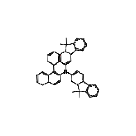 CC1(C)c2ccccc2C2=CC=C(N(C3=CC4c5ccccc5C(C)(C)C4C=C3)C3=C(C4C=CC=CC4)C4=CC=CCC4C=C3)CC21